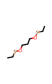 CCSOCCCOSCC